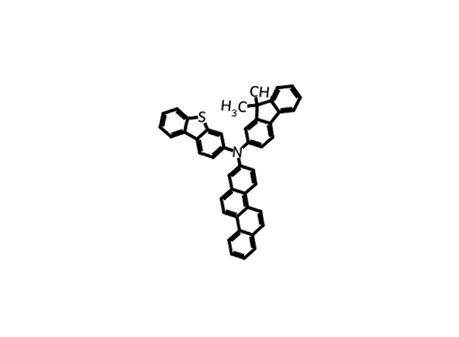 CC1(C)c2ccccc2-c2ccc(N(c3ccc4c(ccc5c6ccccc6ccc45)c3)c3ccc4c(c3)sc3ccccc34)cc21